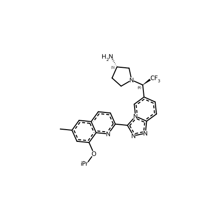 Cc1cc(OC(C)C)c2nc(-c3nnc4ccc([C@@H](N5CC[C@H](N)C5)C(F)(F)F)cn34)ccc2c1